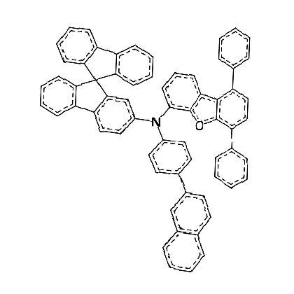 c1ccc(-c2ccc(-c3ccccc3)c3c2oc2c(N(c4ccc(-c5ccc6ccccc6c5)cc4)c4ccc5c(c4)C4(c6ccccc6-c6ccccc64)c4ccccc4-5)cccc23)cc1